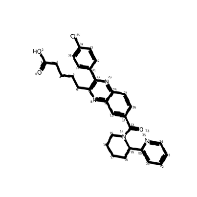 O=C(O)CCCCc1nc2cc(C(=O)N3CCCCC3c3ccccn3)ccc2nc1-c1ccc(Cl)cc1